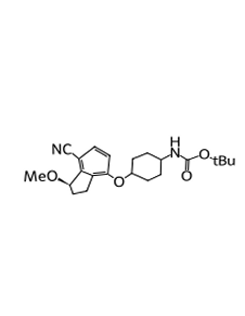 CO[C@@H]1CCc2c(OC3CCC(NC(=O)OC(C)(C)C)CC3)ccc(C#N)c21